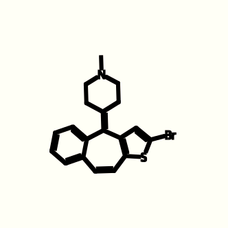 CN1CCC(=C2c3ccccc3C=Cc3sc(Br)cc32)CC1